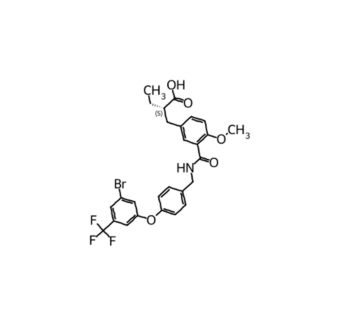 CC[C@@H](Cc1ccc(OC)c(C(=O)NCc2ccc(Oc3cc(Br)cc(C(F)(F)F)c3)cc2)c1)C(=O)O